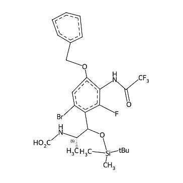 C[C@H](NC(=O)O)C(O[Si](C)(C)C(C)(C)C)c1c(Br)cc(OCc2ccccc2)c(NC(=O)C(F)(F)F)c1F